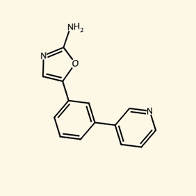 Nc1ncc(-c2cccc(-c3cccnc3)c2)o1